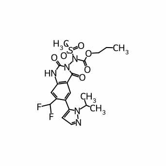 CCCOC(=O)N(n1c(=O)[nH]c2cc(C(F)F)c(-c3ccnn3C(C)C)cc2c1=O)S(C)(=O)=O